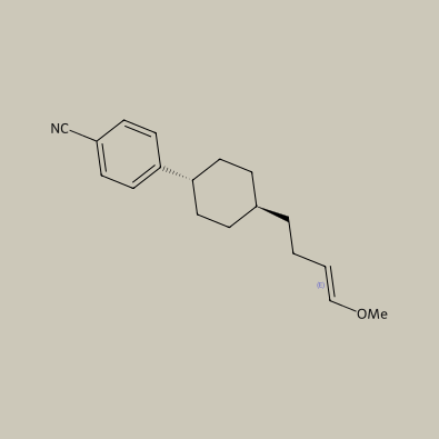 CO/C=C/CC[C@H]1CC[C@H](c2ccc(C#N)cc2)CC1